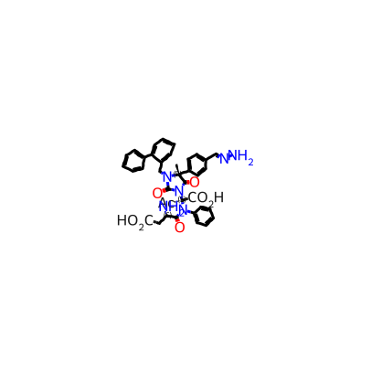 CC(=O)[C@@](C(=O)O)(N1C(=O)N(Cc2ccccc2-c2ccccc2)[C@](C)(c2ccc(C=NN)cc2)C1=O)N(C(=O)[C@@H](N)CC(=O)O)c1ccccc1